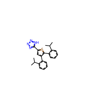 CC(C)c1ccccc1-c1cc(-c2nnn[nH]2)sc1-c1ccccc1C(C)C